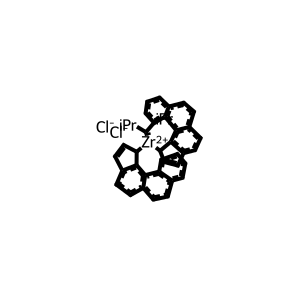 CC(C)[C](C(C)C)=[Zr+2]([CH]1C=Cc2ccc3ccc4ccccc4c3c21)[CH]1C=Cc2ccc3ccc4ccccc4c3c21.[Cl-].[Cl-]